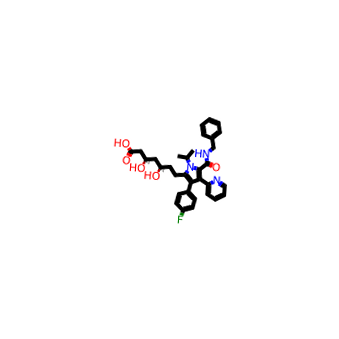 CC(C)n1c(CC[C@@H](O)C[C@@H](O)CC(=O)O)c(-c2ccc(F)cc2)c(-c2ccccn2)c1C(=O)NCc1ccccc1